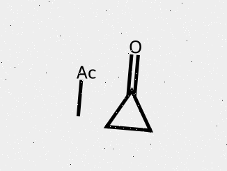 CC(C)=O.O=C1CC1